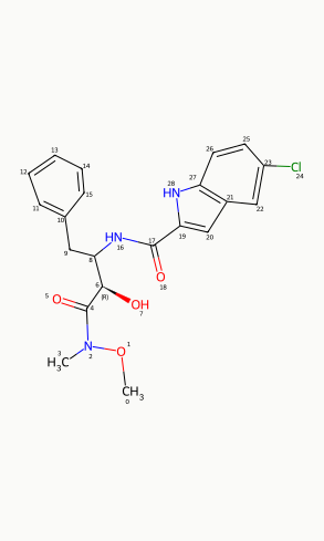 CON(C)C(=O)[C@H](O)C(Cc1ccccc1)NC(=O)c1cc2cc(Cl)ccc2[nH]1